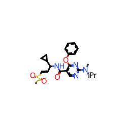 CC(C)N(C)c1ncc(C(=O)NC(/C=C/S(C)(=O)=O)C2CC2)c(Oc2ccccc2)n1